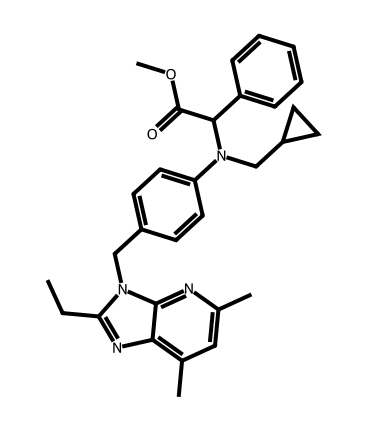 CCc1nc2c(C)cc(C)nc2n1Cc1ccc(N(CC2CC2)C(C(=O)OC)c2ccccc2)cc1